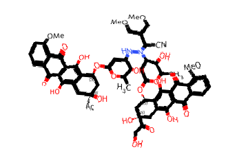 COCC(COC)C(C#N)N(NC1CC(O[C@H]2C[C@](O)(C(C)=O)Cc3c(O)c4c(c(O)c32)C(=O)c2c(OC)cccc2C4=O)OC(C)C1O)C1CC(O[C@H]2C[C@](O)(C(=O)CO)Cc3c(O)c4c(c(O)c32)C(=O)c2c(OC)cccc2C4=O)OC(C)C1O